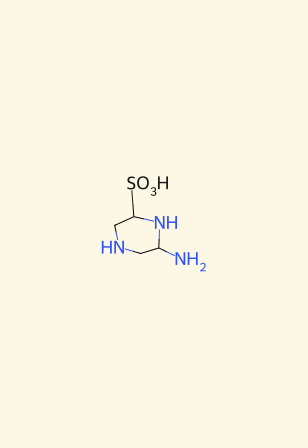 NC1CNCC(S(=O)(=O)O)N1